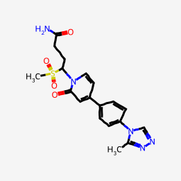 Cc1nncn1-c1ccc(-c2ccn(C(CCC(N)=O)S(C)(=O)=O)c(=O)c2)cc1